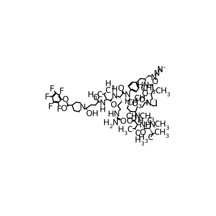 CC[C@H](C)C([C@@H](CC(=O)N1CCC[C@H]1[C@H](OC)[C@@H](C)C(=O)N[C@H](CN=[N+]=[N-])Cc1ccc(NC(=O)[C@H](CCCNC(N)=O)NC(=O)[C@@H](NC(=O)CCC(O)N2CCC(C(=O)Oc3c(F)c(F)c(F)c(F)c3F)CC2)C(C)C)cc1)OC)N(C)C(=O)[C@@H](NC(=O)[C@H](C(C)C)N(C)C)C(C)C